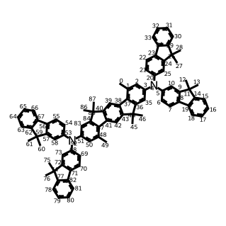 Cc1cc(N(c2ccc3c(c2)C(C)(C)c2ccccc2-3)c2ccc3c(c2)C(C)(C)c2ccccc2-3)cc2c1-c1cc3c(cc1C2(C)C)-c1c(C)cc(N(c2ccc4c(c2)C(C)(C)c2ccccc2-4)c2ccc4c(c2)C(C)(C)c2ccccc2-4)cc1C3(C)C